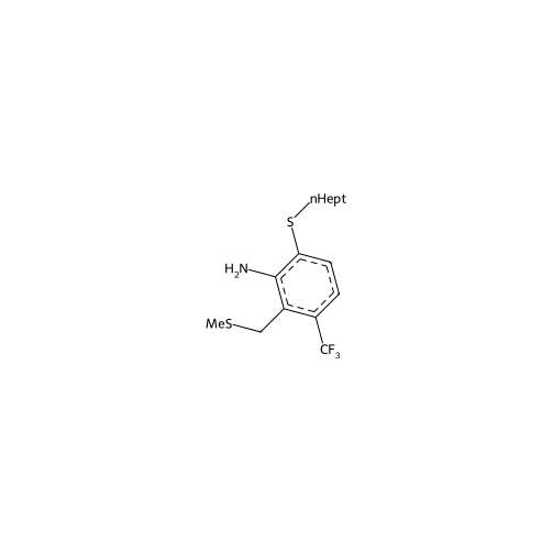 CCCCCCCSc1ccc(C(F)(F)F)c(CSC)c1N